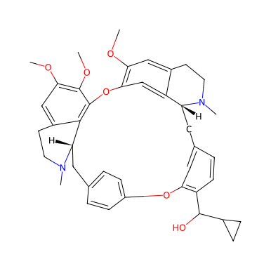 COc1cc2c3cc1Oc1c(OC)c(OC)cc4c1[C@H](Cc1ccc(cc1)Oc1cc(ccc1C(O)C1CC1)C[C@H]3N(C)CC2)N(C)CC4